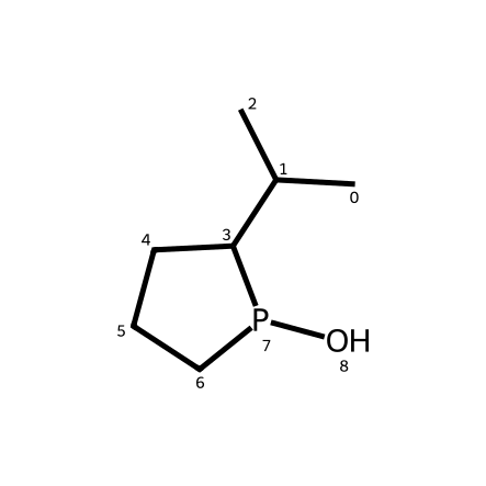 CC(C)C1CCCP1O